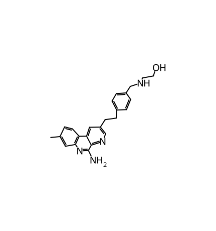 Cc1ccc2c(c1)nc(N)c1ncc(CCc3ccc(CNCCO)cc3)cc12